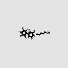 Fc1c(F)c(F)c(-c2c(F)c(F)c(OCCCCCS)c(F)c2F)c(F)c1F